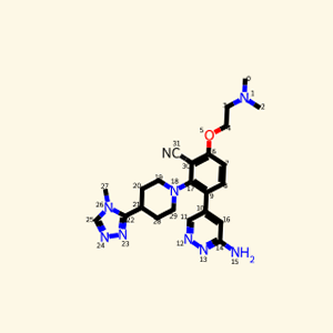 CN(C)CCOc1ccc(-c2cnnc(N)c2)c(N2CCC(c3nncn3C)CC2)c1C#N